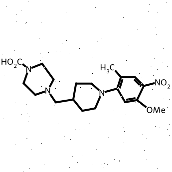 COc1cc(N2CCC(CN3CCN(C(=O)O)CC3)CC2)c(C)cc1[N+](=O)[O-]